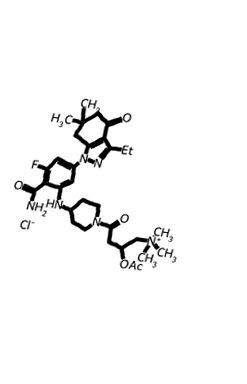 CCc1nn(-c2cc(F)c(C(N)=O)c(NC3CCN(C(=O)CC(C[N+](C)(C)C)OC(C)=O)CC3)c2)c2c1C(=O)CC(C)(C)C2.[Cl-]